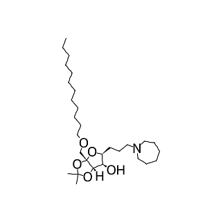 CCCCCCCCCCCCOC[C@@]12O[C@@H](CCCN3CCCCCC3)[C@@H](O)[C@@H]1OC(C)(C)O2